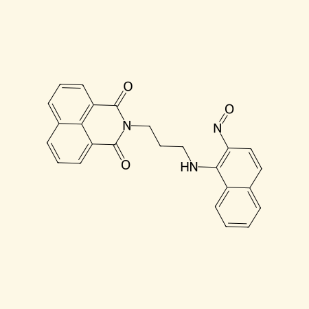 O=Nc1ccc2ccccc2c1NCCCN1C(=O)c2cccc3cccc(c23)C1=O